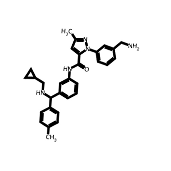 Cc1ccc(C(NCC2CC2)c2cccc(NC(=O)c3cc(C)nn3-c3cccc(CN)c3)c2)cc1